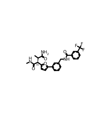 CNC(=O)[C@H](c1ccc(-c2cccc(CNC(=O)c3cccc(C(F)(F)F)c3)c2)o1)C(C)C(N)=O